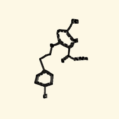 CNC(=O)c1[nH]c(C=O)cc1OCCc1ccc(Cl)cc1